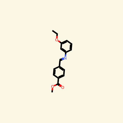 CCOc1cccc(N=Cc2ccc(C(=O)OC)cc2)c1